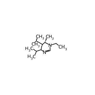 CCN1C=NC(C(C)C)C(C(C)C)[C@H]1C